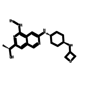 CC(C)Nc1nc([C@@H](C)O)cc2cnc(N[C@H]3CC[C@H](NC4COC4)CC3)cc12